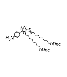 CCCCCCCCCCCCCCCCCCSSc1nnc(-c2ccc(N)cc2)n1CCCCCCCCCCCCCCCCCC